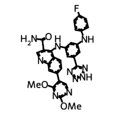 COc1ncc(-c2ccc3c(Nc4cc(Nc5ccc(F)cc5)cc(-c5nn[nH]n5)c4)c(C(N)=O)cnc3c2)c(OC)n1